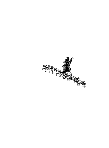 CCCCCCCCCCCCOCCCCCCCCCCCC.CCCCCCCCCCCCOCCCCCCCCCCCC.N.N.O=S(=O)(O)O.O=S(=O)([O-])[O-].[Na+].[Na+]